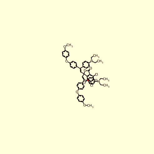 CCN(CC)c1ccc(/C(=C\C2(/C=C(/c3ccc(Oc4ccc(OC)cc4)cc3)c3ccc(N(CC)CC)cc3)OC(=O)c3c(Cl)c(Cl)c(Cl)c(Cl)c32)c2ccc(Oc3ccc(OC)cc3)cc2)cc1